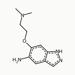 CN(C)CCOc1cc2[nH]ncc2cc1N